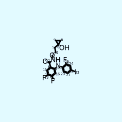 O=C(NOCCC1(O)CC1)c1cc(F)c(F)cc1Nc1ccc(I)cc1F